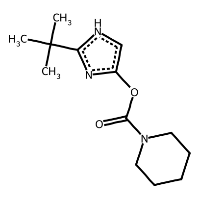 CC(C)(C)c1nc(OC(=O)N2CCCCC2)c[nH]1